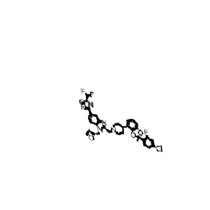 CC1(c2ccc(Cl)cc2F)Oc2cccc(C3CCN(Cc4nc5cc(-c6noc(C(F)F)n6)ccc5n4C[C@@H]4CCO4)CC3)c2O1